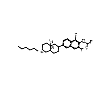 CCCCCC[C@@H]1CC[C@@H]2CC(c3ccc4c(F)c(OC(F)F)c(F)cc4c3)CCC2C1